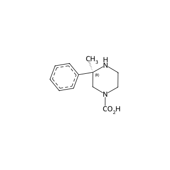 C[C@@]1(c2ccccc2)CN(C(=O)O)CCN1